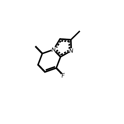 Cc1cn2c(n1)C(F)=CCC2C